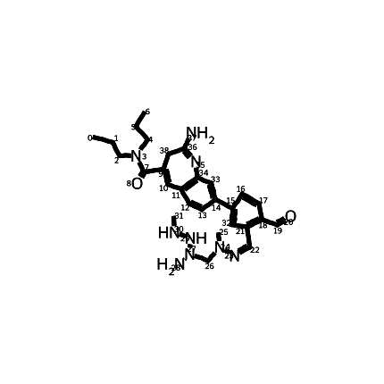 CCCN(CCC)C(=O)C1=Cc2ccc(-c3ccc(C=O)c(/C=N\N(C)CN(N)NNC)c3)cc2N=C(N)C1